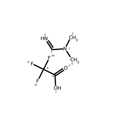 CN(C)C=N.O=C(O)C(F)(F)F